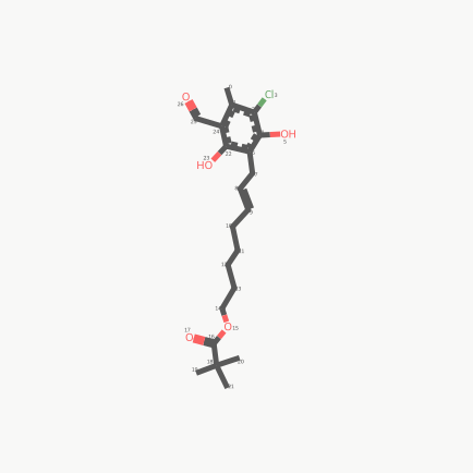 Cc1c(Cl)c(O)c(C/C=C/CCCCCOC(=O)C(C)(C)C)c(O)c1C=O